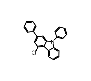 Clc1cc(-c2ccccc2)cc2c1c1ccccc1n2-c1ccccc1